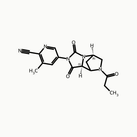 CCC(=O)N1C[C@H]2CC1[C@H]1C(=O)N(c3cnc(C#N)c(C)c3)C(=O)N21